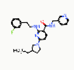 O=C(O)CC1CCN(c2ccc(C(=O)NCc3cccnc3)c(NCCc3cccc(F)c3)n2)C1